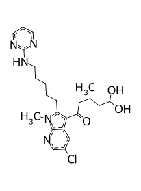 C[C@@H](CC(=O)c1c(CCCCCNc2ncccn2)n(C)c2ncc(Cl)cc12)CC(O)O